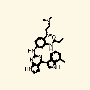 CCC(=O)Nc1cc(Nc2nc(-c3c[nH]c4c(C)cccc34)c3cc[nH]c3n2)ccc1N(C)CCN(C)C